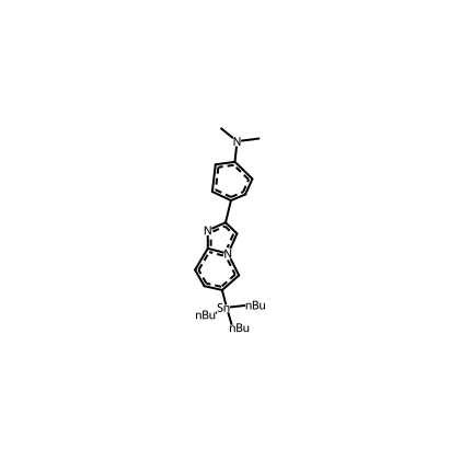 CCC[CH2][Sn]([CH2]CCC)([CH2]CCC)[c]1ccc2nc(-c3ccc(N(C)C)cc3)cn2c1